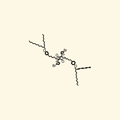 C#CC#CC#CC#CC(CCCCCCCCCC)COc1ccc(CCCCCN2C(=O)C3=C(c4ccc(Br)s4)N(CCCCCc4ccc(OCC(CCCCCCCC)CCCCCCCCCC)cc4)C(=O)C3=C2c2ccc(Br)s2)cc1